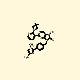 Cn1cc(C(F)(F)F)nc1-c1ccc(Cn2c(=O)n(C)c3cnc(-c4cccnc4N4CC(F)(F)C4)nc32)cc1